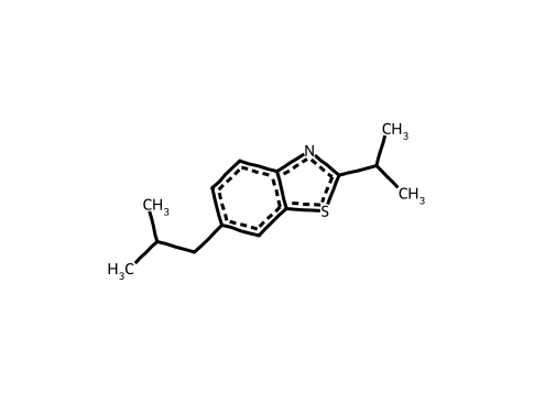 CC(C)Cc1ccc2nc(C(C)C)sc2c1